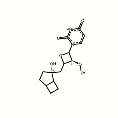 CC(C)O[C@H]1C(C[C@]2(O)CCC3CCC32)OC1n1ccc(=O)[nH]c1=O